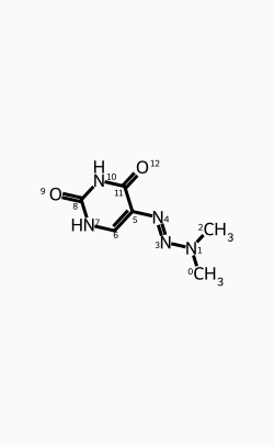 CN(C)N=Nc1c[nH]c(=O)[nH]c1=O